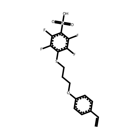 C=Cc1ccc(OCCCSc2c(F)c(F)c(S(=O)(=O)O)c(F)c2F)cc1